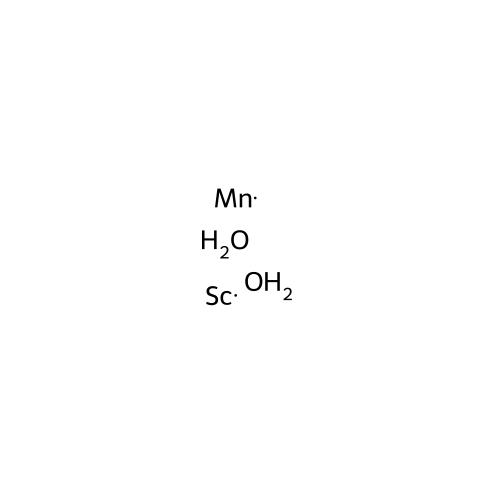 O.O.[Mn].[Sc]